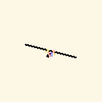 CCCCCCCCCCCCCCCC(=S)OC(CCSC(=S)CCCCCCCCCCCCCCC)NC(=O)OC(C)(C)C